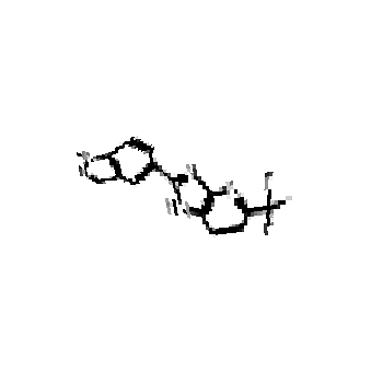 FC(F)(F)c1ccc2[nH]c(-c3ccc4[nH]ncc4c3)nc2n1